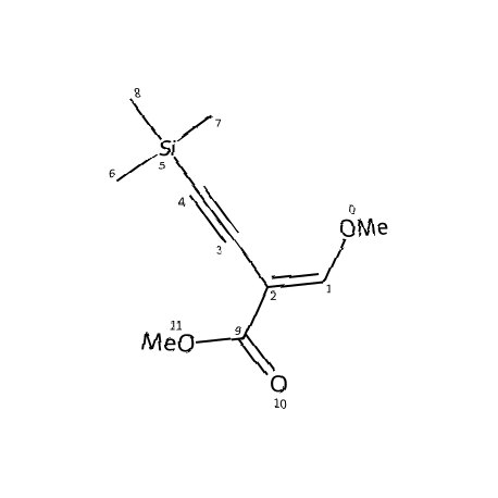 CO/C=C(\C#C[Si](C)(C)C)C(=O)OC